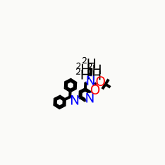 [2H]C([2H])([2H])C([2H])([2H])N(Cc1cncc(N=C(c2ccccc2)c2ccccc2)c1)C(=O)OC(C)(C)C